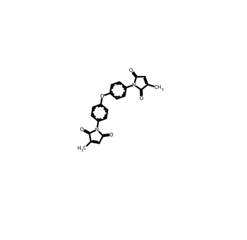 CC1=CC(=O)N(c2ccc(Oc3ccc(N4C(=O)C=C(C)C4=O)cc3)cc2)C1=O